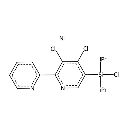 CC(C)[Si](Cl)(c1cnc(-c2ccccn2)c(Cl)c1Cl)C(C)C.[Ni]